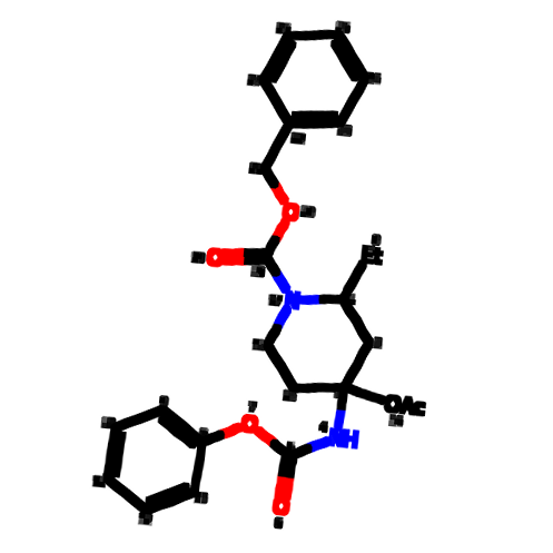 CCC1CC(NC(=O)Oc2ccccc2)(OC(C)=O)CCN1C(=O)OCc1ccccc1